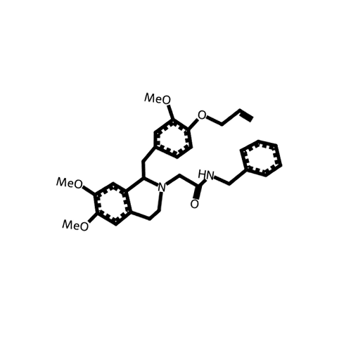 C=CCOc1ccc(CC2c3cc(OC)c(OC)cc3CCN2CC(=O)NCc2ccccc2)cc1OC